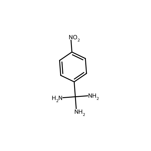 NC(N)(N)c1ccc([N+](=O)[O-])cc1